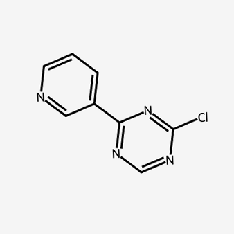 Clc1ncnc(-c2cccnc2)n1